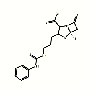 O=C(O)C1C(CCCNC(=S)Nc2ccccc2)S[C@@H]2CC(=O)N12